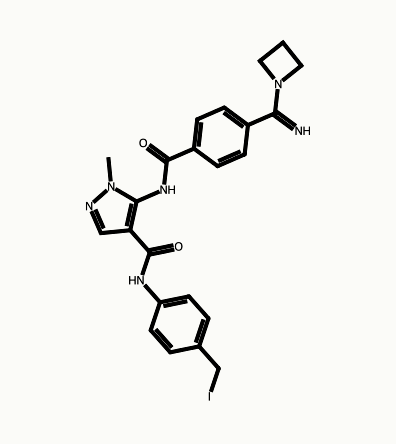 Cn1ncc(C(=O)Nc2ccc(CI)cc2)c1NC(=O)c1ccc(C(=N)N2CCC2)cc1